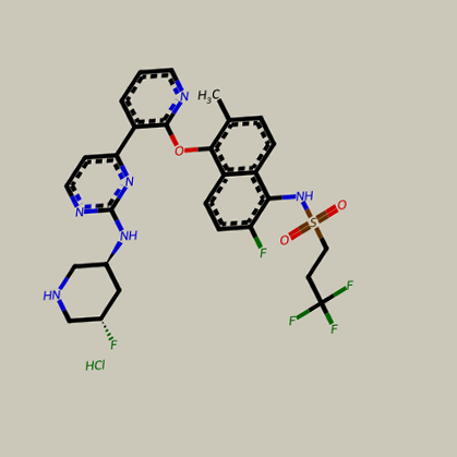 Cc1ccc2c(NS(=O)(=O)CCC(F)(F)F)c(F)ccc2c1Oc1ncccc1-c1ccnc(N[C@@H]2CNC[C@@H](F)C2)n1.Cl